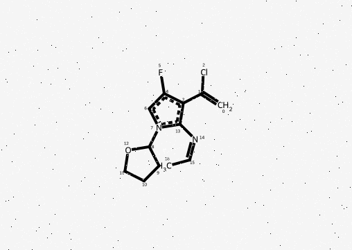 C=C(Cl)c1c(F)cn(C2CCCO2)c1/N=C\C